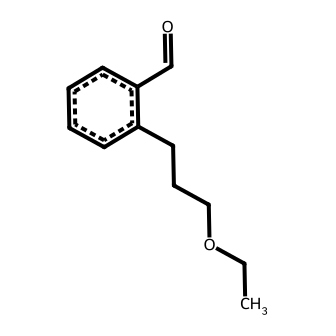 CCOCCCc1ccccc1C=O